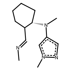 C/N=C/C1CCCC[C@@H]1N(C)c1cnn(C)c1